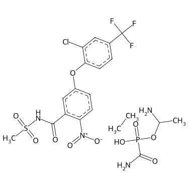 CC.CC(N)OP(=O)(O)C(N)=O.CS(=O)(=O)NC(=O)c1cc(Oc2ccc(C(F)(F)F)cc2Cl)ccc1[N+](=O)[O-]